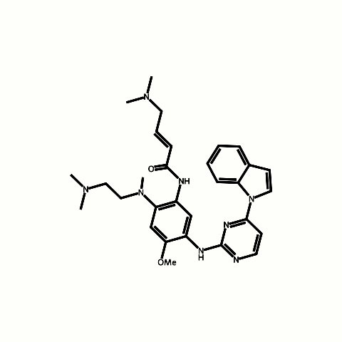 COc1cc(N(C)CCN(C)C)c(NC(=O)C=CCN(C)C)cc1Nc1nccc(-n2ccc3ccccc32)n1